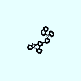 C1=CC2N=C3c4ccc(-c5cccc(N(c6ccccc6)c6cccc7ccccc67)c5)cc4-c4ccccc4N3C2C=C1